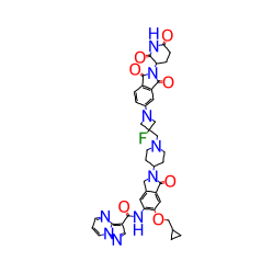 O=C1CCC(N2C(=O)c3ccc(N4CC(F)(CN5CCC(N6Cc7cc(NC(=O)c8cnn9cccnc89)c(OCC8CC8)cc7C6=O)CC5)C4)cc3C2=O)C(=O)N1